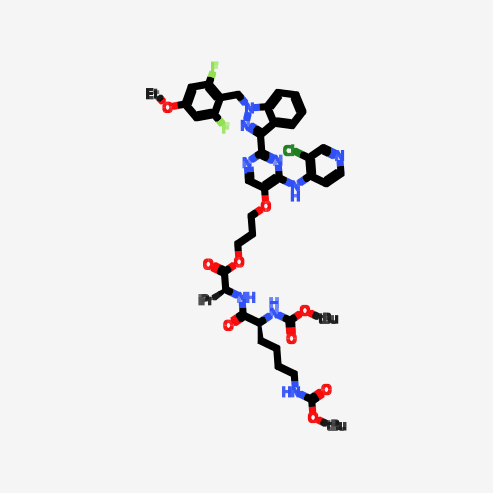 CCOc1cc(F)c(Cn2nc(-c3ncc(OCCCOC(=O)[C@@H](NC(=O)[C@H](CCCCNC(=O)OC(C)(C)C)NC(=O)OC(C)(C)C)C(C)C)c(Nc4ccncc4Cl)n3)c3ccccc32)c(F)c1